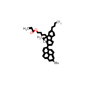 C=CC(=O)OCCCCC1(C(=C)C)c2cc(CCCC(F)(F)F)ccc2-c2ccc(-c3ccc4ccc5cc(C(C)(C)C)cc6ccc3c4c56)cc21